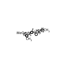 COc1cnc2c(-c3nc4cc(F)c(OC5CCCC[C@H]5OC(=O)Nc5cnc(C)nc5)cc4s3)cc(C)cc2n1